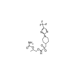 CC(CONS(=O)(=O)CC1CCN(c2ncc(C(F)(F)F)cn2)CC1)OC(N)=O